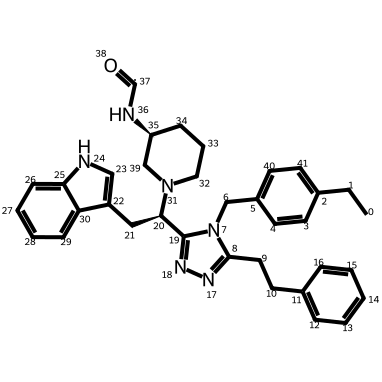 CCc1ccc(Cn2c(CCc3ccccc3)nnc2[C@@H](Cc2c[nH]c3ccccc23)N2CCC[C@H](N[C]=O)C2)cc1